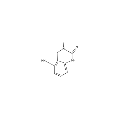 CN1Cc2c([NH])cccc2NC1=O